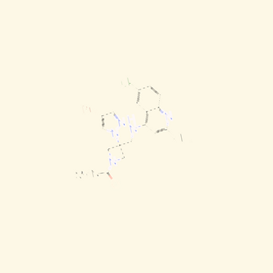 CNC(=O)N1CC(CNc2cc(C(F)(F)F)nc3ccc(Cl)cc23)(n2cc(Br)cn2)C1